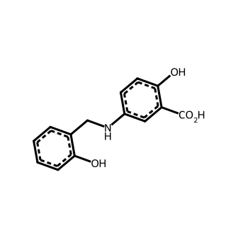 O=C(O)c1cc(NCc2ccccc2O)ccc1O